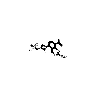 C=C(C)c1ccc(N2C[C@H](CS(C)(=O)=O)[C@H]2C)c2cnc(SC)nc12